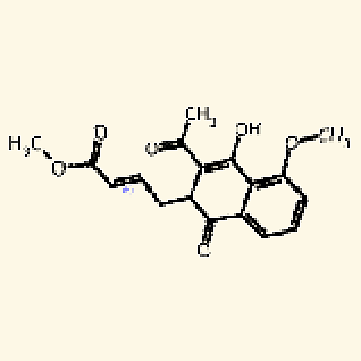 COC(=O)/C=C/CC1C(=O)c2cccc(OC)c2C(O)=C1C(C)=O